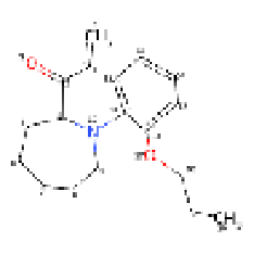 C=CC(=O)C1CCCCCN1c1ccccc1OCCC